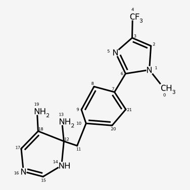 Cn1cc(C(F)(F)F)nc1-c1ccc(CC2(N)NC=NC=C2N)cc1